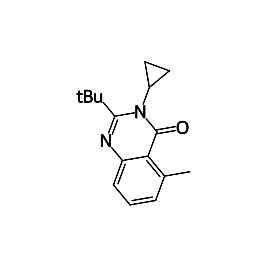 Cc1cccc2nc(C(C)(C)C)n(C3CC3)c(=O)c12